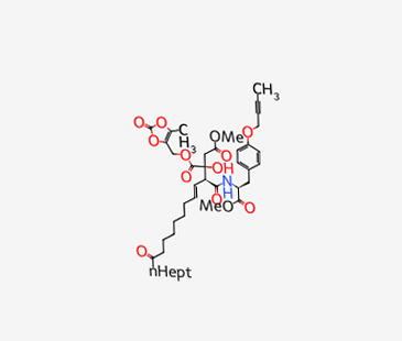 CC#CCOc1ccc(C[C@H](NC(=O)[C@@H](/C=C/CCCCCCC(=O)CCCCCCC)[C@@](O)(CC(=O)OC)C(=O)OCc2oc(=O)oc2C)C(=O)OC)cc1